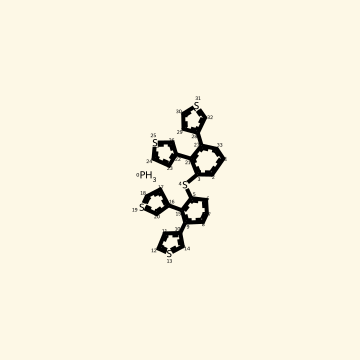 P.c1cc(Sc2cccc(-c3ccsc3)c2-c2ccsc2)c(-c2ccsc2)c(-c2ccsc2)c1